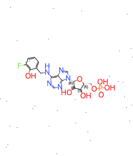 O=P(O)(O)OC[C@H]1O[C@@H](n2cnc3c(NCc4cccc(F)c4O)ncnc32)[C@H](O)[C@@H]1O